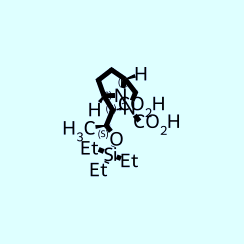 CC[Si](CC)(CC)O[C@@H](C)[C@@H]1[C@@H]2CC[C@H](CN1C(=O)O)N2C(=O)O